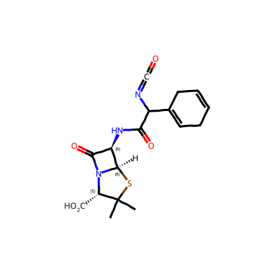 CC1(C)S[C@@H]2[C@H](NC(=O)C(N=C=O)C3=CCC=CC3)C(=O)N2[C@H]1C(=O)O